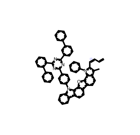 C=C/C=C\c1c(C)c2ccc3c4ccc5c6ccccc6n(-c6ccc(-c7nc(-c8cccc(-c9ccccc9)c8)nc(-c8ccccc8-c8ccccc8)n7)cc6)c5c4oc3c2n1-c1ccccc1